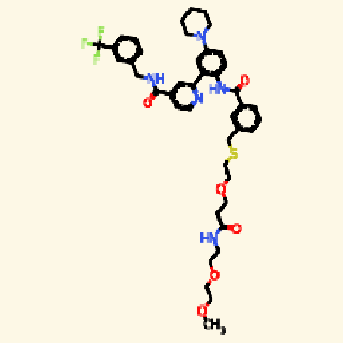 COCCOCCNC(=O)CCOCCSCc1cccc(C(=O)Nc2ccc(N3CCCCC3)cc2-c2cc(C(=O)NCc3cccc(C(F)(F)F)c3)ccn2)c1